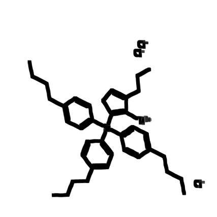 CCCCc1ccc([Si](C2=[C]([Ti+3])C(CCC)=CC2)(c2ccc(CCCC)cc2)c2ccc(CCCC)cc2)cc1.[Cl-].[Cl-].[Cl-]